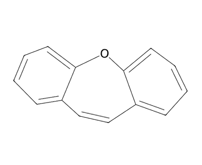 C1=Cc2ccccc2Oc2ccccc21